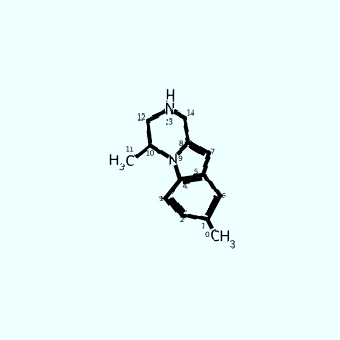 Cc1ccc2c(c1)cc1n2C(C)CNC1